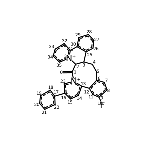 C=C1C2C(CCc3ccc(F)cc3-c3ccc(-c4ccccc4)c[n+]31)c1ccccc1-c1cccc[n+]12